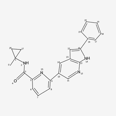 CC1(NC(=O)c2cccc(-c3cnc4[nH]c(-c5ccccc5)cc4c3)n2)CC1